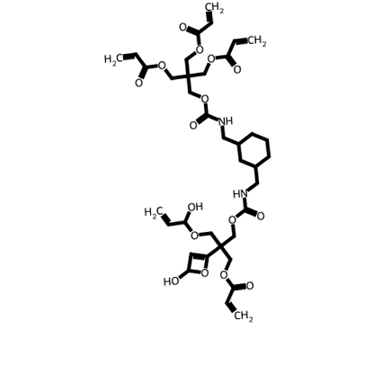 C=CC(=O)OCC(COC(=O)C=C)(COC(=O)C=C)COC(=O)NCC1CCCC(CNC(=O)OCC(COC(=O)C=C)(COC(O)C=C)C2=CC(O)O2)C1